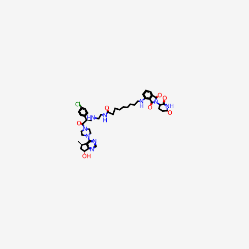 C[C@@H]1C[C@@H](O)c2ncnc(N3CCN(C(=O)[C@H](CNCCNC(=O)CCCCCCCCNc4cccc5c4C(=O)N(C4CCC(=O)NC4=O)C5=O)c4ccc(Cl)cc4)CC3)c21